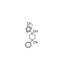 Cn1cnc(C2(O)CCC(C#N)(c3ccccc3)CC2)n1